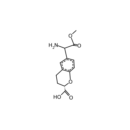 COC(=O)C(N)c1ccc2c(c1)CC[C@@H](C(=O)O)O2